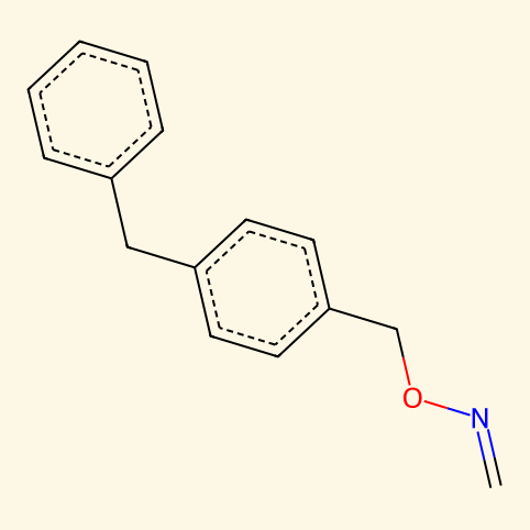 C=NOCc1ccc(Cc2ccccc2)cc1